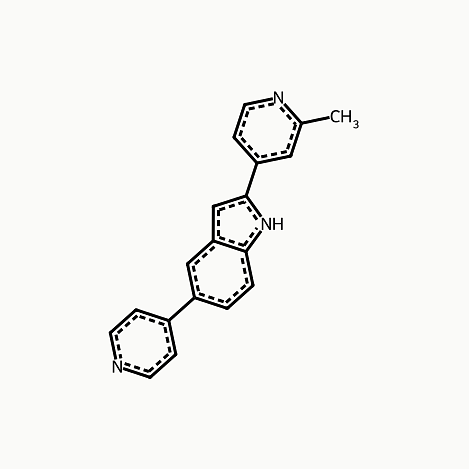 Cc1cc(-c2cc3cc(-c4ccncc4)ccc3[nH]2)ccn1